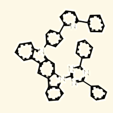 c1ccc(-c2cccc(-c3ccc(-n4c5ccccc5c5cc6c7ccccc7n(-c7nc(-c8ccccc8)nc(-c8ccccc8)n7)c6cc54)cc3)n2)cc1